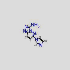 Nc1nnc2ccc(-n3ccnc3)nn12